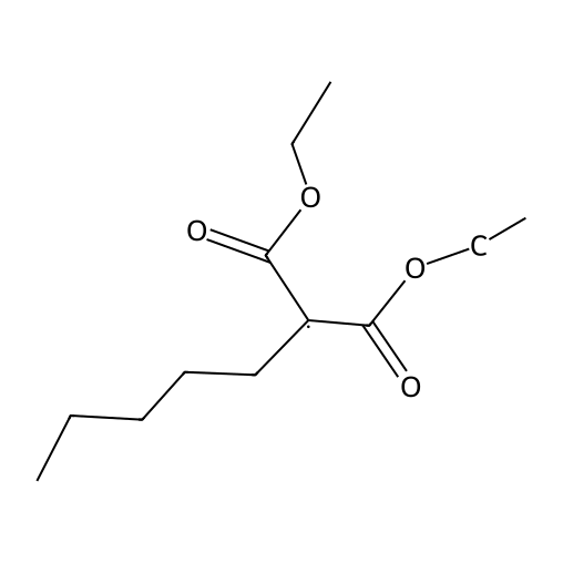 CCCCC[C](C(=O)OCC)C(=O)OCC